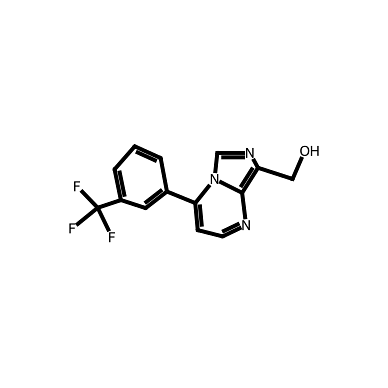 OCc1ncn2c(-c3cccc(C(F)(F)F)c3)ccnc12